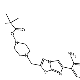 CC(C)(C)C(=O)ON1CCN(Cc2cn3cc(-c4ccccc4N)nc3s2)CC1